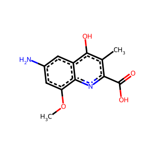 COc1cc(N)cc2c(O)c(C)c(C(=O)O)nc12